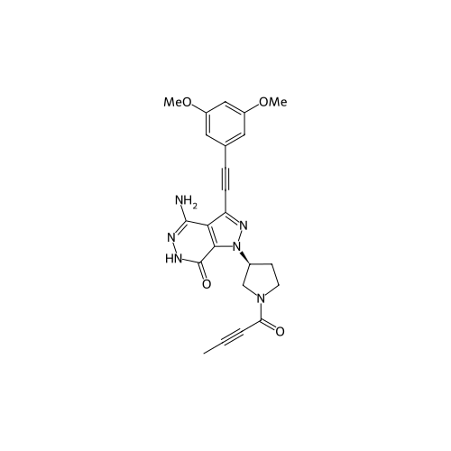 CC#CC(=O)N1CC[C@H](n2nc(C#Cc3cc(OC)cc(OC)c3)c3c(N)n[nH]c(=O)c32)C1